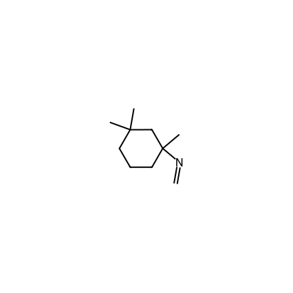 C=NC1(C)CCCC(C)(C)C1